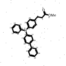 COC(=O)CCc1ccc(N(c2ccccc2)c2ccc(-c3ccccc3)cc2)cc1